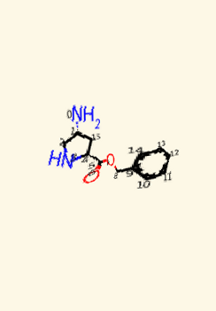 N[C@H]1CN[C@H](C(=O)OCc2ccccc2)C1